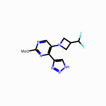 COc1ncc(N2CC(C(F)F)C2)c(-c2c[nH]nn2)n1